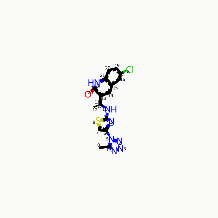 Cc1nnnn1-c1csc(N[C@@H](C)c2cc3cc(Cl)ccc3[nH]c2=O)n1